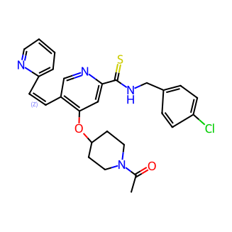 CC(=O)N1CCC(Oc2cc(C(=S)NCc3ccc(Cl)cc3)ncc2/C=C\c2ccccn2)CC1